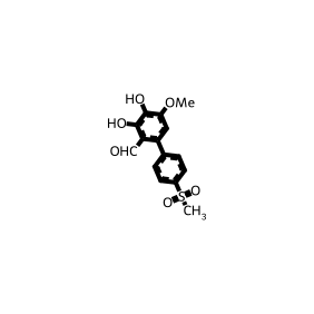 COc1cc(-c2ccc(S(C)(=O)=O)cc2)c(C=O)c(O)c1O